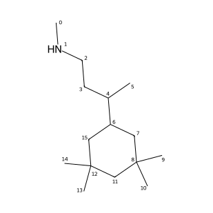 CNCCC(C)C1CC(C)(C)CC(C)(C)C1